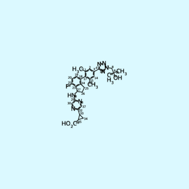 Cc1cc(-c2nnn(CC(C)(C)O)n2)cc(C)c1-c1ccc(F)c2c1CC[C@H]2Nc1cnc(C2C[C@H]2C(=O)O)cn1